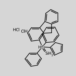 Cl.Cl.[SiH2]=[Hf]([C]1=CC=CC1)([c]1ccccc1)([c]1ccccc1)[c]1cccc2c1Cc1ccccc1-2